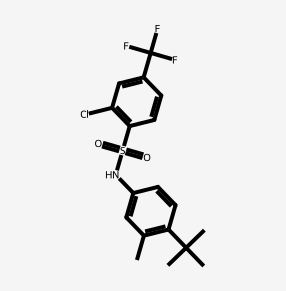 Cc1cc(NS(=O)(=O)c2ccc(C(F)(F)F)cc2Cl)ccc1C(C)(C)C